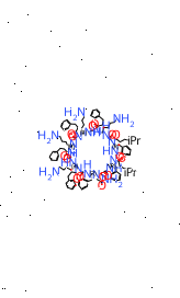 CC(C)CCC(=O)N1C(=O)N[C@@H](Cc2ccccc2)N(C(=O)CCC(C)C)C(=O)NC(CCCCN)N(C(=O)CCc2ccccc2)C(=O)N[C@@H](CCCCN)N(C(=O)CCc2ccccc2)C(=O)N[C@@H](CCCCN)N(C(=O)CCc2ccccc2)C(=O)N[C@@H](CCCCN)N(C(=O)CCc2ccccc2)C(=O)N[C@@H](Cc2ccccc2)N(CC(N)=O)C(=O)C(=O)N[C@H]1Cc1ccccc1